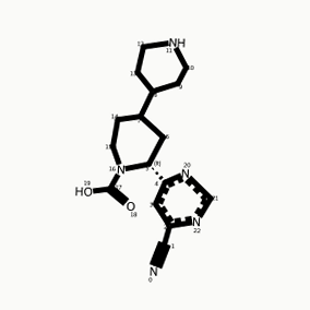 N#Cc1cc([C@H]2CC(C3CCNCC3)CCN2C(=O)O)ncn1